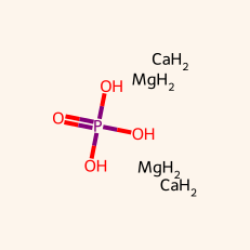 O=P(O)(O)O.[CaH2].[CaH2].[MgH2].[MgH2]